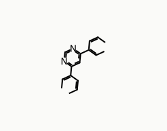 C/C=C\C(=C/C)c1cc(C(/C=C\C)=C/C)ncn1